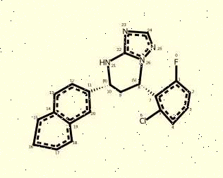 Fc1cccc(Cl)c1[C@@H]1C[C@H](c2ccc3ccccc3c2)Nc2ncnn21